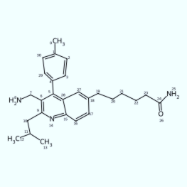 Cc1ccc(-c2c(CN)c(CC(C)C)nc3ccc(CCCCCC(N)=O)cc23)cc1